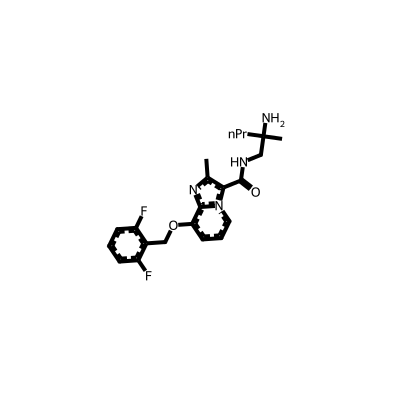 CCCC(C)(N)CNC(=O)c1c(C)nc2c(OCc3c(F)cccc3F)cccn12